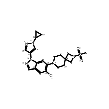 CS(=O)(=O)N1CC2(CCN(c3cc4c(cnn4-c4cnn(C5CC5)c4)cc3Cl)CC2)C1